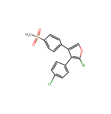 CS(=O)(=O)c1ccc(-c2coc(Br)c2-c2ccc(Cl)cc2)cc1